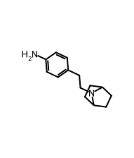 Nc1ccc(CCN2C3CCC2CC3)cc1